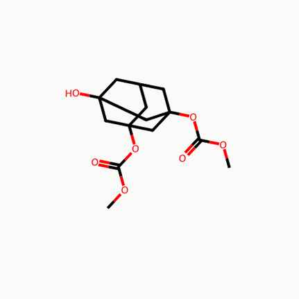 COC(=O)OC12CC3CC(O)(C1)CC(OC(=O)OC)(C3)C2